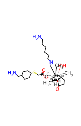 C[C@@H]1CC[C@@]23CCC(=O)[C@H]2[C@]1(C)[C@H](OC(=O)CSC1CCC(CN)CC1)C[C@](C)(CNCCCCCCN)[C@@H](O)[C@@H]3C